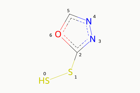 SSc1nnco1